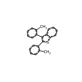 Cc1ccccc1-c1sc2ccccc2c1-c1ccccc1C